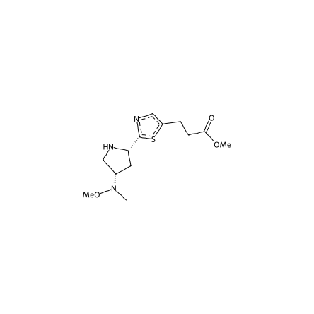 COC(=O)CCc1cnc([C@@H]2C[C@H](N(C)OC)CN2)s1